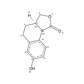 O=C1OC[C@@H]2CCc3cc(O)ccc3N12